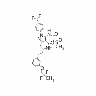 C[S+]([O-])CC(=O)Nc1c2c(nn1-c1ccc(C(F)F)cc1)CC(CCc1cccc(OCC(C)(F)F)c1)NC2=O